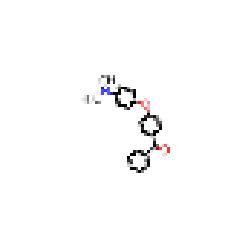 CN(C)c1ccc(Oc2ccc(C(=O)c3ccccc3)cc2)cc1